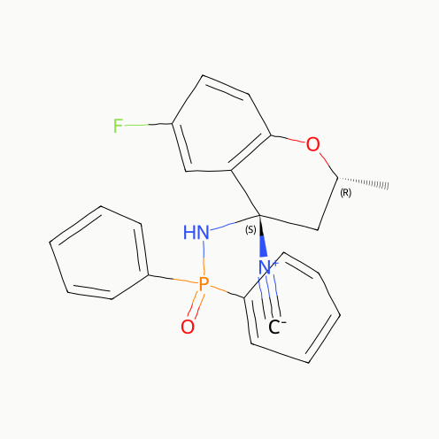 [C-]#[N+][C@]1(NP(=O)(c2ccccc2)c2ccccc2)C[C@@H](C)Oc2ccc(F)cc21